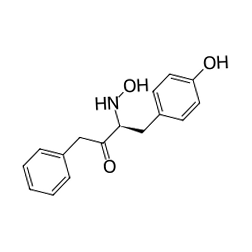 O=C(Cc1ccccc1)[C@H](Cc1ccc(O)cc1)NO